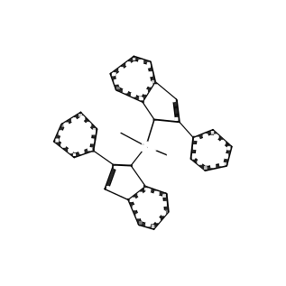 [CH3][Nd]([CH3])([CH]1C(c2ccccc2)=Cc2ccccc21)[CH]1C(c2ccccc2)=Cc2ccccc21